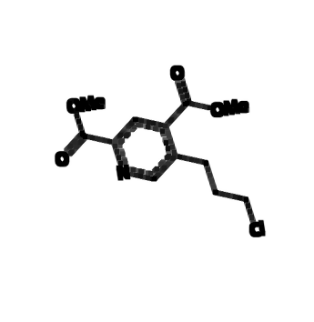 COC(=O)c1cc(C(=O)OC)c(CCCCl)cn1